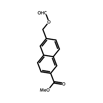 COC(=O)c1ccc2cc(COC=O)ccc2c1